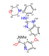 CNC(=O)c1cc(Oc2ccc3c(c2)nc(Nc2ccccc2N2CCOCC2)n3C)ccn1